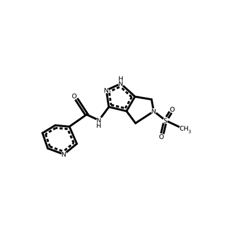 CS(=O)(=O)N1Cc2[nH]nc(NC(=O)c3cccnc3)c2C1